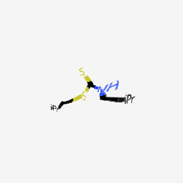 CC(C)CNC(=S)SCC(C)C